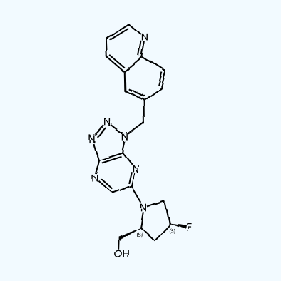 OC[C@@H]1C[C@H](F)CN1c1cnc2nnn(Cc3ccc4ncccc4c3)c2n1